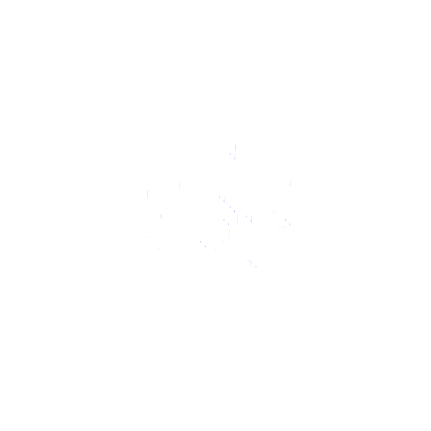 N#Cc1cnc2c(Cl)cc(NC(C3=CN(C4CCNCC4)NN3)c3cc(C(F)(F)F)cc(C(F)(F)F)c3)cc2c1Nc1ccc(F)c(Cl)c1